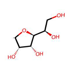 OC[C@@H](O)[C@@H]1O[CH][C@@H](O)[C@H]1O